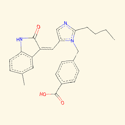 CCCCc1ncc(/C=C2\C(=O)Nc3ccc(C)cc32)n1Cc1ccc(C(=O)O)cc1